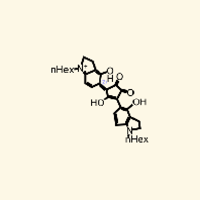 CCCCCCN1CCc2c1ccc(C1=C(O)/C(=c3\ccc4c(c3O)CC[N+]=4CCCCCC)C(=O)C1=O)c2O